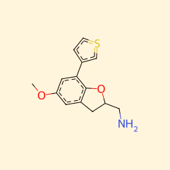 COc1cc2c(c(-c3ccsc3)c1)OC(CN)C2